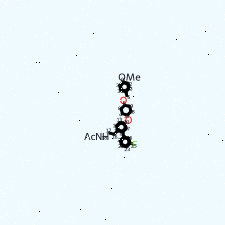 COc1ccc(COC2CCC(Oc3ccc(CCNC(C)=O)c(-c4cccc(F)c4)c3)CC2)cc1